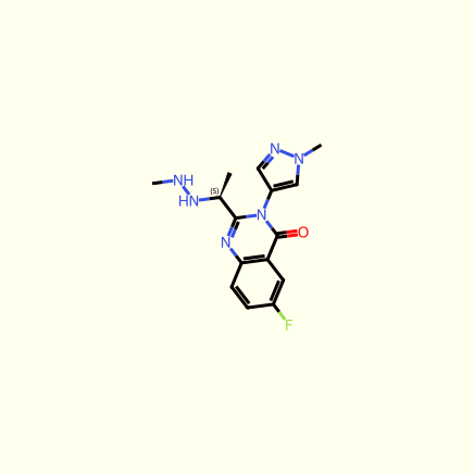 CNN[C@@H](C)c1nc2ccc(F)cc2c(=O)n1-c1cnn(C)c1